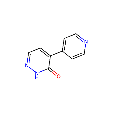 O=c1[nH]nccc1-c1ccncc1